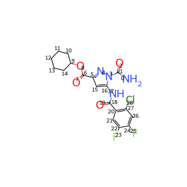 NC(=O)n1nc(C(=O)OC2CCCCC2)cc1NC(=O)c1cc(F)c(F)cc1Cl